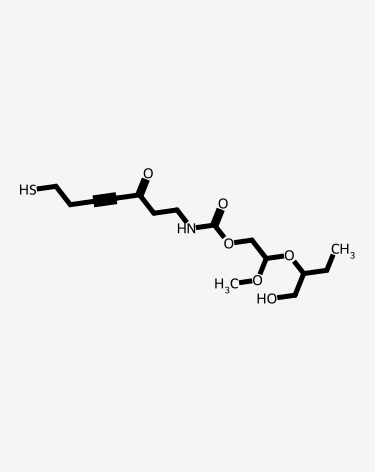 CCC(CO)OC(COC(=O)NCCC(=O)C#CCCS)OC